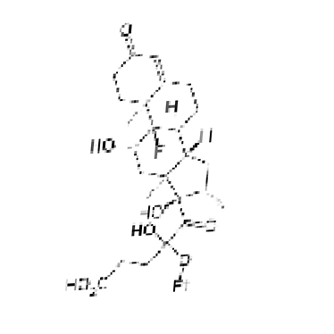 CCOC(O)(CCC(=O)O)C(=O)[C@@]1(O)[C@@H](C)C[C@H]2[C@@H]3CCC4=CC(=O)CC[C@]4(C)[C@@]3(F)[C@@H](O)C[C@@]21C